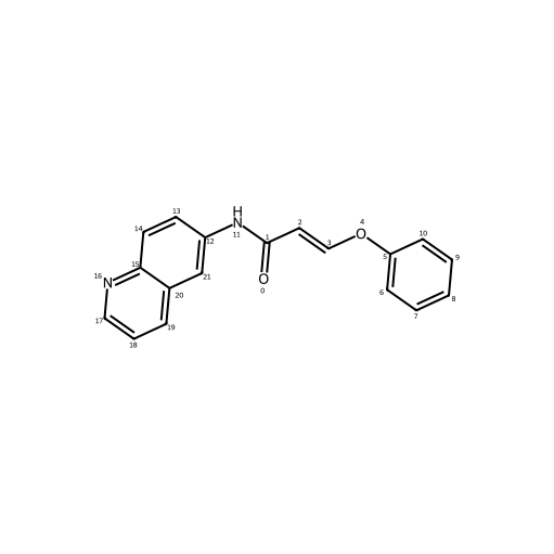 O=C(C=COc1ccccc1)Nc1ccc2ncccc2c1